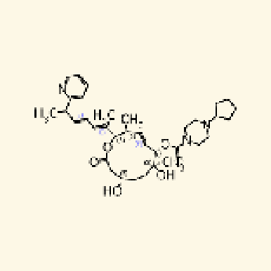 C/C(=C\C=C\C(C)c1ccccn1)[C@H]1OC(=O)C[C@@H](O)CC[C@](C)(O)[C@@H](OC(=O)N2CCN(C3CCCC3)CC2)/C=C/[C@@H]1C